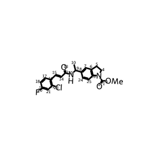 COC(=O)N1CCc2cc(C(C)NC(=O)C=Cc3ccc(F)cc3Cl)ccc21